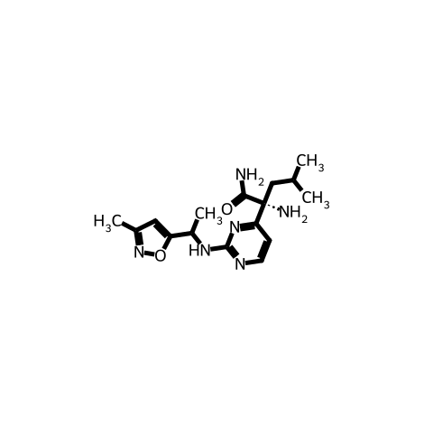 Cc1cc(C(C)Nc2nccc([C@](N)(CC(C)C)C(N)=O)n2)on1